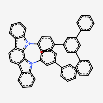 c1ccc(-c2cc(-c3ccccc3)cc(-c3ccc(-n4c5ccccc5c5ccc6c7ccccc7n(-c7cccc(-c8ccccc8)c7)c6c54)cc3)c2)cc1